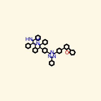 N=C(/C(=C1\NC(c2ccccc2)=C(c2ccc(-c3nc(-c4ccccc4)nc(-c4ccc(-c5cccc6c5oc5ccccc56)cc4)n3)cc2)c2ccccc21)c1ccccc1)c1ccccc1